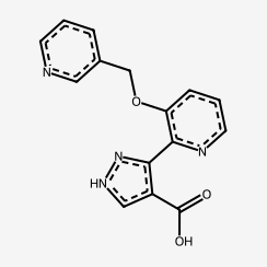 O=C(O)c1c[nH]nc1-c1ncccc1OCc1cccnc1